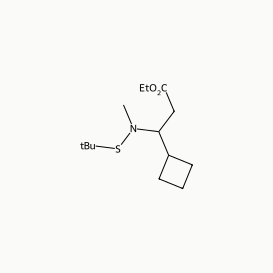 CCOC(=O)CC(C1CCC1)N(C)SC(C)(C)C